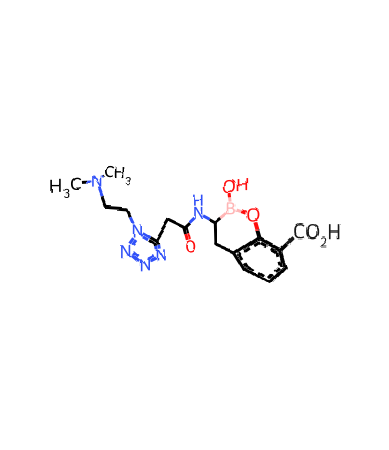 CN(C)CCn1nnnc1CC(=O)NC1Cc2cccc(C(=O)O)c2OB1O